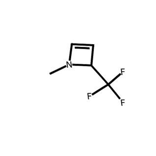 CN1C=CC1C(F)(F)F